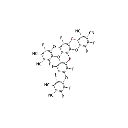 N#Cc1c(F)c(F)c(Oc2c(F)c(F)c(Oc3c(F)c(C#N)c(C#N)c(F)c3Oc3c(F)c(F)c(Oc4c(F)c(F)c(C#N)c(C#N)c4F)c(F)c3F)c(F)c2F)c(F)c1C#N